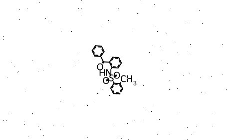 Cc1ccccc1S(=O)(=O)Nc1ccccc1C(=O)c1ccccc1